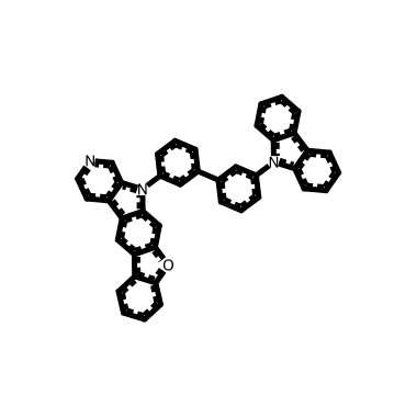 c1cc(-c2cccc(-n3c4cnccc4c4cc5c(cc43)oc3ccccc35)c2)cc(-n2c3ccccc3c3ccccc32)c1